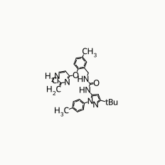 C=C(Cl)/N=C(\C=C/N)Oc1ccc(C)cc1CNC(=O)Nc1cc(C(C)(C)C)nn1-c1ccc(C)cc1